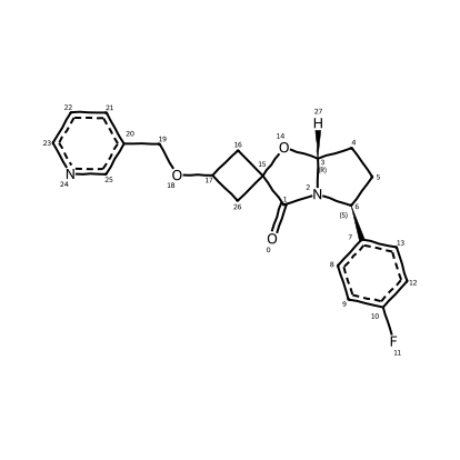 O=C1N2[C@@H](CC[C@H]2c2ccc(F)cc2)OC12CC(OCc1cccnc1)C2